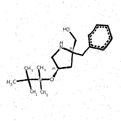 CC(C)(C)[Si](C)(C)O[C@H]1CN[C@](CO)(Cc2ccccc2)C1